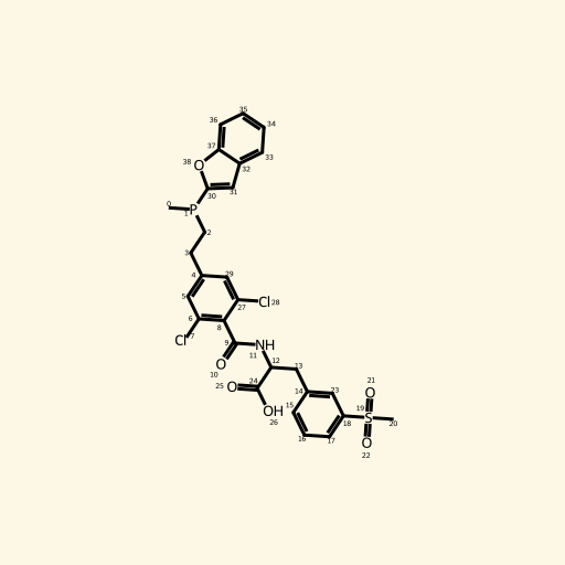 CP(CCc1cc(Cl)c(C(=O)NC(Cc2cccc(S(C)(=O)=O)c2)C(=O)O)c(Cl)c1)c1cc2ccccc2o1